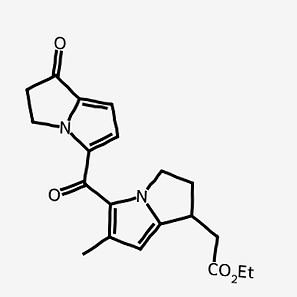 CCOC(=O)CC1CCn2c1cc(C)c2C(=O)c1ccc2n1CCC2=O